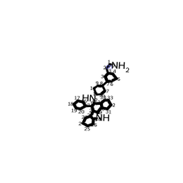 N/C=C\c1cccc(C2=CCC(Nc3c(-c4ccccc4)c4c5ccccc5[nH]c4c4ccccc34)C=C2)c1